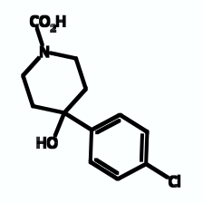 O=C(O)N1CCC(O)(c2ccc(Cl)cc2)CC1